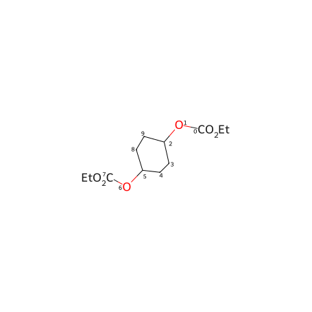 CCOC(=O)OC1CCC(OC(=O)OCC)CC1